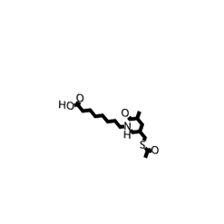 CC(=O)SCC(CNCCCCCCCC(=O)O)CC(C)C=O